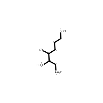 CCCCCCCCCCCC(S)C(CC(=O)O)C(=O)O